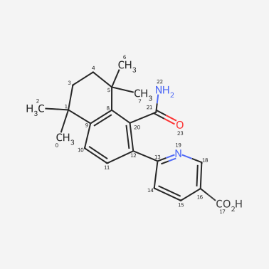 CC1(C)CCC(C)(C)c2c1ccc(-c1ccc(C(=O)O)cn1)c2C(N)=O